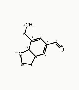 CCC1=CC(C=O)=CC2CCOC12